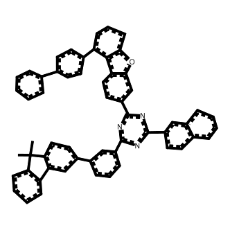 CC1(C)c2ccccc2-c2cc(-c3cccc(-c4nc(-c5ccc6ccccc6c5)nc(-c5ccc6c(c5)oc5cccc(-c7ccc(-c8ccccc8)cc7)c56)n4)c3)ccc21